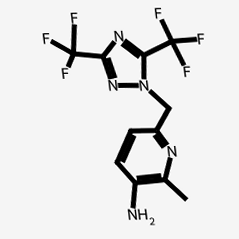 Cc1nc(Cn2nc(C(F)(F)F)nc2C(F)(F)F)ccc1N